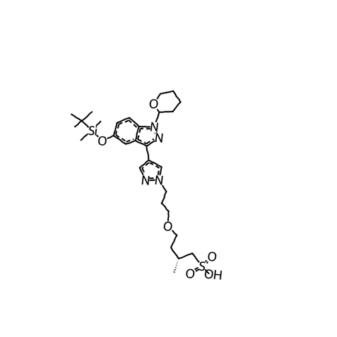 C[C@H](CCOCCCn1cc(-c2nn(C3CCCCO3)c3ccc(O[Si](C)(C)C(C)(C)C)cc23)cn1)CS(=O)(=O)O